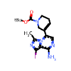 Cc1nc(I)c2c(N)ncc(C3=CCCN(C(=O)OC(C)(C)C)C3)n12